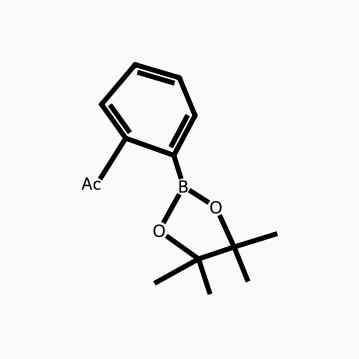 CC(=O)c1ccccc1B1OC(C)(C)C(C)(C)O1